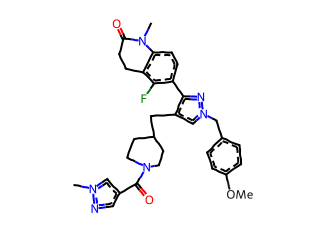 COc1ccc(Cn2cc(CC3CCN(C(=O)c4cnn(C)c4)CC3)c(-c3ccc4c(c3F)CCC(=O)N4C)n2)cc1